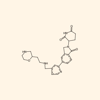 O=C1CCC(N2Cc3cc(-c4cc(CNCCC5CNCCO5)ccn4)ccc3C2=O)C(=O)N1